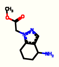 COC(=O)Cn1ncc2c1CCCC2N